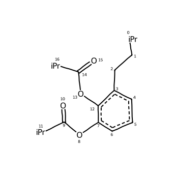 CC(C)CCc1cccc(OC(=O)C(C)C)c1OC(=O)C(C)C